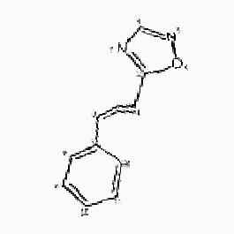 C(=Cc1ncno1)c1ccccc1